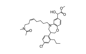 CCCc1cc(Cl)ccc1C1COc2ccc(C(O)C(=O)OC)cc2N(CCCC/C=C\CCN(C)C(C)=O)C1